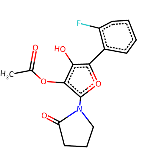 CC(=O)Oc1c(N2CCCC2=O)oc(-c2ccccc2F)c1O